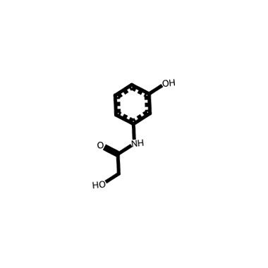 O=C(CO)Nc1cccc(O)c1